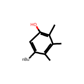 CCCCc1cc(O)c(C)c(C)c1C